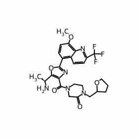 COc1ccc(-c2nc(C(=O)N3CCN(CC4CCCO4)C(=O)C3)c([C@H](C)N)o2)c2ccc(C(F)(F)F)nc12